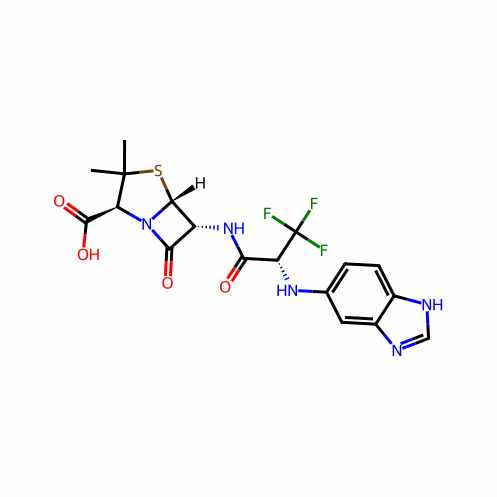 CC1(C)S[C@@H]2[C@H](NC(=O)[C@@H](Nc3ccc4[nH]cnc4c3)C(F)(F)F)C(=O)N2[C@H]1C(=O)O